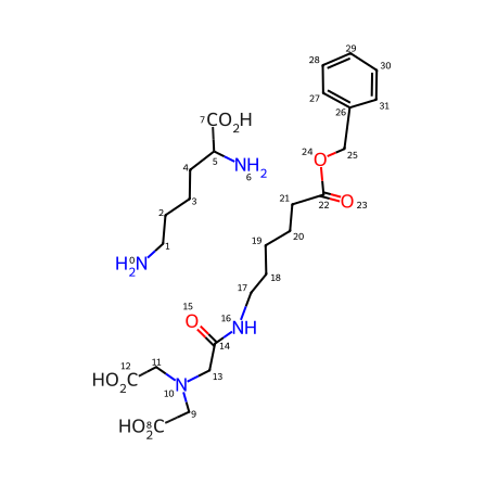 NCCCCC(N)C(=O)O.O=C(O)CN(CC(=O)O)CC(=O)NCCCCCC(=O)OCc1ccccc1